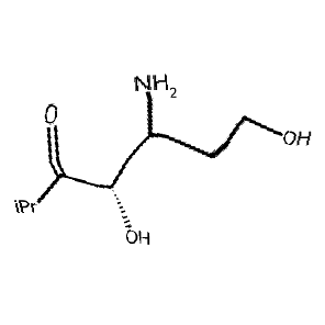 CC(C)C(=O)[C@@H](O)C(N)CCO